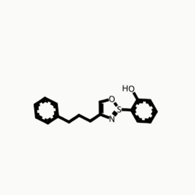 Oc1ccccc1S1=NC(CCCc2ccccc2)=CO1